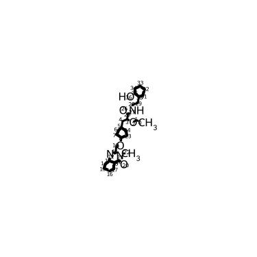 CCOC(Cc1ccc(OCc2nc3ccccc3c(=O)n2C)cc1)C(=O)NCCc1ccccc1O